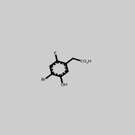 O=C(O)Cc1cc(O)c(Br)cc1F